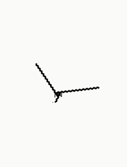 [CH2]CCCc1nc(CCCCCCCCCCCCCCCCCCCCCC)cc(CCCCCCCCCCCCCCCCCCCCCC)n1